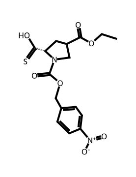 CCOC(=O)C1C[C@@H](C(O)=S)N(C(=O)OCc2ccc([N+](=O)[O-])cc2)C1